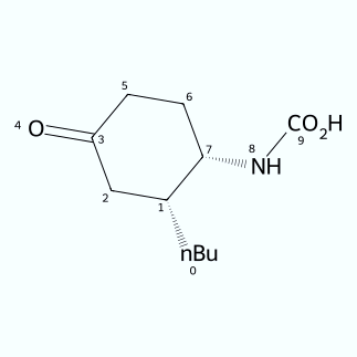 CCCC[C@@H]1CC(=O)CC[C@@H]1NC(=O)O